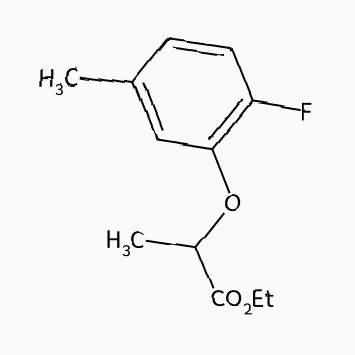 CCOC(=O)C(C)Oc1cc(C)ccc1F